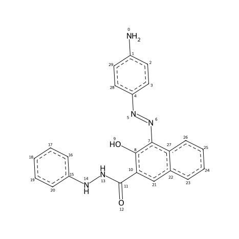 Nc1ccc(N=Nc2c(O)c(C(=O)NNc3ccccc3)cc3ccccc23)cc1